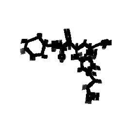 CC(C)(C)C(=N)/C=C(/NC(=O)NC1CCCCC1)Nc1cnn(CCO)c1